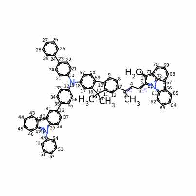 C=c1/c(=C\C=C(/C)c2ccc3c(c2)C(C)(C)c2cc(N(c4ccc(-c5ccccc5)cc4)c4ccc(-c5ccc6c(c5)c5ccccc5n6-c5ccccc5)cc4)ccc2-3)n2c3ccccc3c3cccc1c32